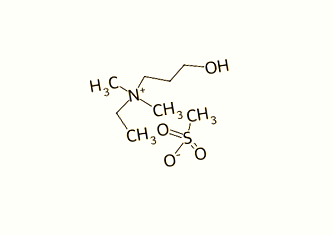 CC[N+](C)(C)CCCO.CS(=O)(=O)[O-]